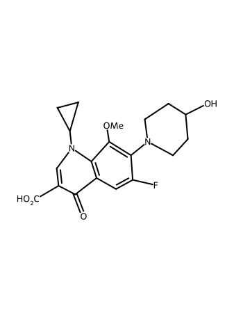 COc1c(N2CCC(O)CC2)c(F)cc2c(=O)c(C(=O)O)cn(C3CC3)c12